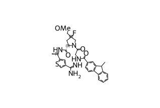 COC[C@@]1(F)C[C@@H](C(=O)N[C@H](C)c2cc(C(=N)N)cs2)N(C(=O)CNC(=O)c2ccc3c(c2)C(C)c2ccccc2-3)C1